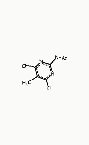 CC(=O)Nc1nc(Cl)c(C)c(Cl)n1